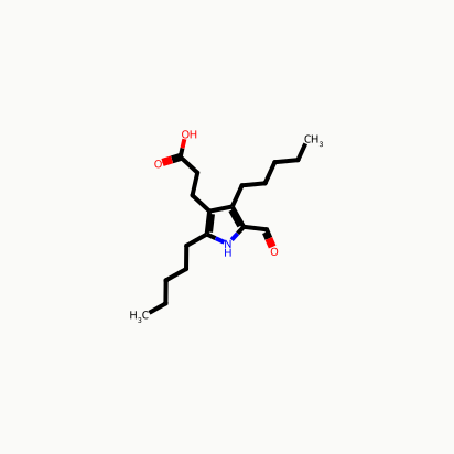 CCCCCc1[nH]c(C=O)c(CCCCC)c1CCC(=O)O